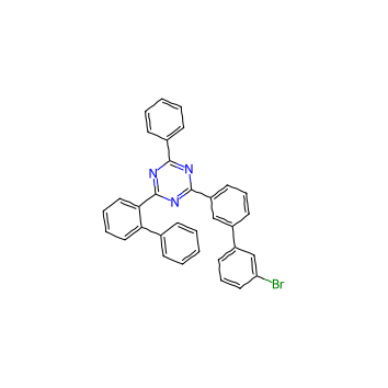 Brc1cccc(-c2cccc(-c3nc(-c4ccccc4)nc(-c4ccccc4-c4ccccc4)n3)c2)c1